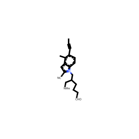 CC#Cc1ccc2c(cc(C#N)n2CC(CCCC=O)CNC)c1C